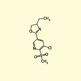 CCC1COC(c2cnc(S(C)(=O)=O)c(Cl)c2)=N1